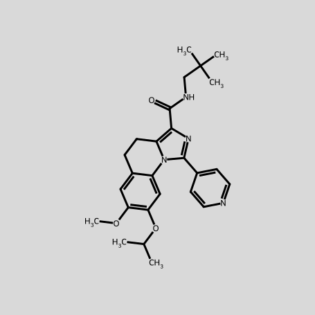 COc1cc2c(cc1OC(C)C)-n1c(-c3ccncc3)nc(C(=O)NCC(C)(C)C)c1CC2